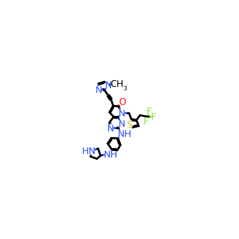 Cn1ccnc1C#Cc1cc2cnc(Nc3ccc(NC4CCNC4)cc3)nc2n(Cc2sccc2CC(F)(F)F)c1=O